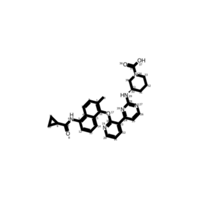 Cc1ccc2c(NC(=O)C3CC3)cccc2c1Oc1ncccc1-c1ccnc(N[C@H]2CCCN(C(=O)O)C2)n1